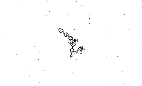 COc1cc(N2CCC(N3CCOCC3)CC2)ccc1Nc1ncc(-c2ccc(C#N)c(O[C@@H](C)Cn3cn[nH]c3=O)c2)cn1